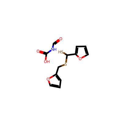 O=CNC(=O)O.SC(SCc1ccco1)c1ccco1